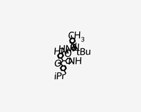 Cc1ccc(-n2nc(C(C)(C)C)cc2NC(=O)Nc2cccc(C(C(=O)c3ccc(CC(C)C)cc3)C3CCNCC3)c2)cc1